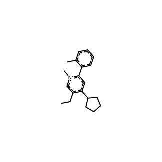 CCc1c[n+](C)c(-c2ccccc2C)cc1C1CCCC1